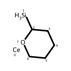 [Ce].[SiH3]C1CCCCO1